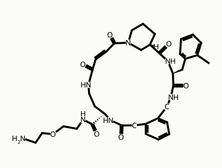 Cc1ccccc1C[C@@H]1NC(=O)[C@@H]2CCCN(C2)C(=O)/C=C/C(=O)NCC[C@@H](C(=O)NCCOCCN)NC(=O)Cc2ccccc2CNC1=O